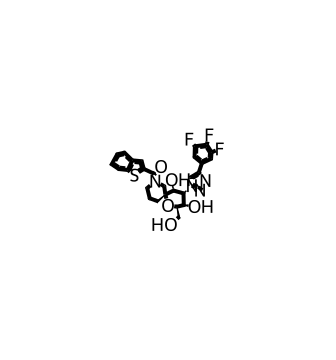 O=C(c1cc2ccccc2s1)N1CCC[C@]2(C1)O[C@H](CO)[C@H](O)[C@@H](n1cc(-c3cc(F)c(F)c(F)c3)nn1)[C@H]2O